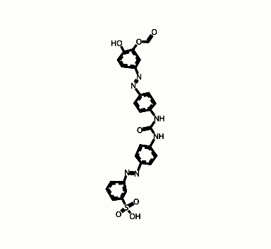 O=COc1cc(N=Nc2ccc(NC(=O)Nc3ccc(N=Nc4cccc(S(=O)(=O)O)c4)cc3)cc2)ccc1O